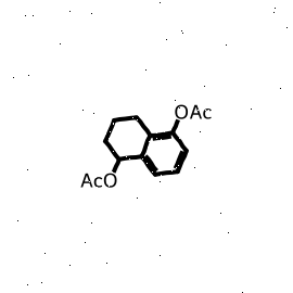 CC(=O)Oc1cccc2c1CCCC2OC(C)=O